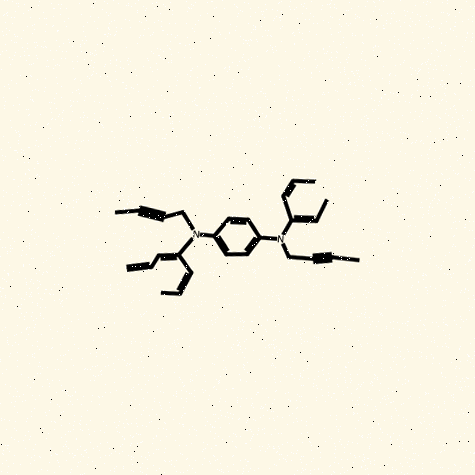 C=C/C=C(\C=C/C)N(CC#CC)c1ccc(N(CC#CC)C(/C=C\C)=C/C)cc1